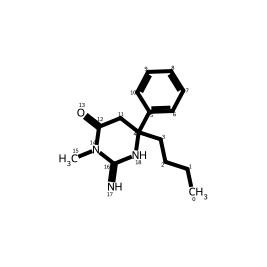 CCCCC1(c2ccccc2)CC(=O)N(C)C(=N)N1